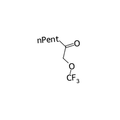 CCCCCC(=O)COC(F)(F)F